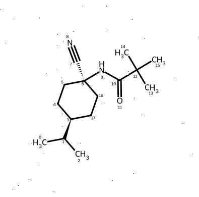 CC(C)[C@H]1CC[C@@](C#N)(NC(=O)C(C)(C)C)CC1